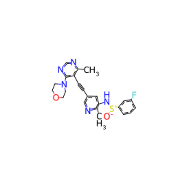 Cc1ncc(C#Cc2c(C)ncnc2N2CCOCC2)cc1N[S+]([O-])c1cccc(F)c1